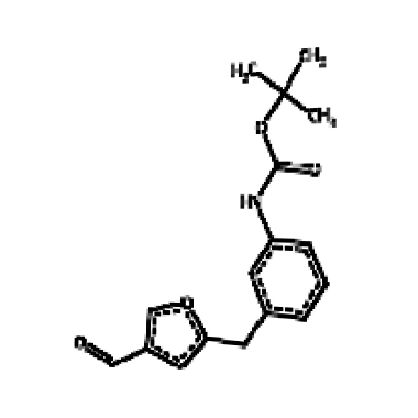 CC(C)(C)OC(=O)Nc1cccc(Cc2cc(C=O)co2)c1